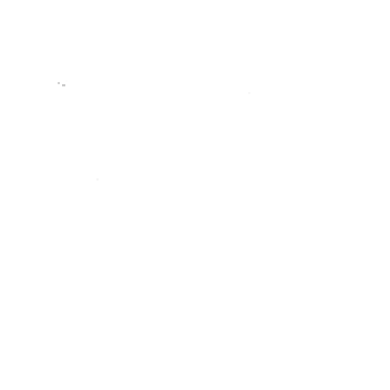 Cc1cncc(Cn2ccc(-c3ccc(OC(F)F)c(Cl)c3)n2)c1